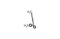 CCCCCCCCCCCC[I+](c1ccccc1)c1ccc(C)cc1